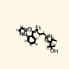 CCN(CCn1nc(C)c(C(C)(C)O)n1)C(=O)c1ccccc1-n1nccn1